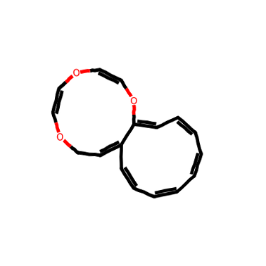 C1=C\C=C/C=C2\O/C=C\O/C=C\OC/C=C2/C=C\C=C/1